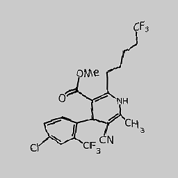 COC(=O)C1=C(CCCCC(F)(F)F)NC(C)=C(C#N)C1c1ccc(Cl)cc1C(F)(F)F